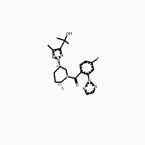 Cc1nn([C@@H]2CC[C@@H](C)N(C(=O)c3ccc(F)cc3-n3nccn3)C2)nc1C(C)(C)O